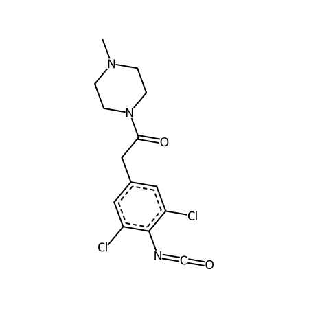 CN1CCN(C(=O)Cc2cc(Cl)c(N=C=O)c(Cl)c2)CC1